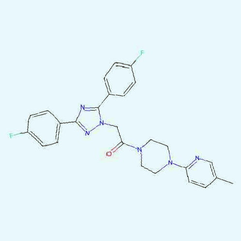 Cc1ccc(N2CCN(C(=O)Cn3nc(-c4ccc(F)cc4)nc3-c3ccc(F)cc3)CC2)nc1